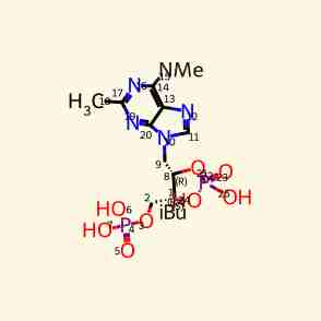 CC[C@H](C)[C@H](COP(=O)(O)O)[C@H](Cn1cnc2c(NC)nc(C)nc21)OP(=O)(O)O